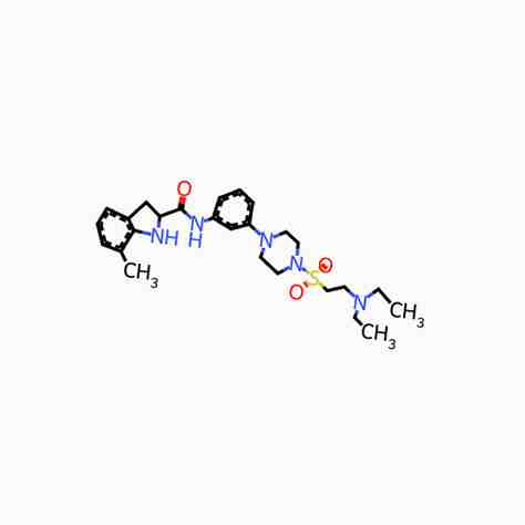 CCN(CC)CCS(=O)(=O)N1CCN(c2cccc(NC(=O)C3Cc4cccc(C)c4N3)c2)CC1